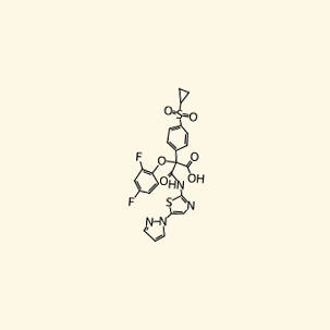 O=C(O)C(Oc1ccc(F)cc1F)(C(=O)Nc1ncc(-n2cccn2)s1)c1ccc(S(=O)(=O)C2CC2)cc1